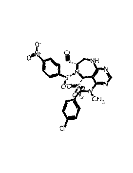 CN(Cc1ccc(Cl)cc1)c1ncnc2c1[C@H](S(C)(=O)=O)N([S+]([O-])c1ccc([N+](=O)[O-])cc1)[C@H](C=O)CN2